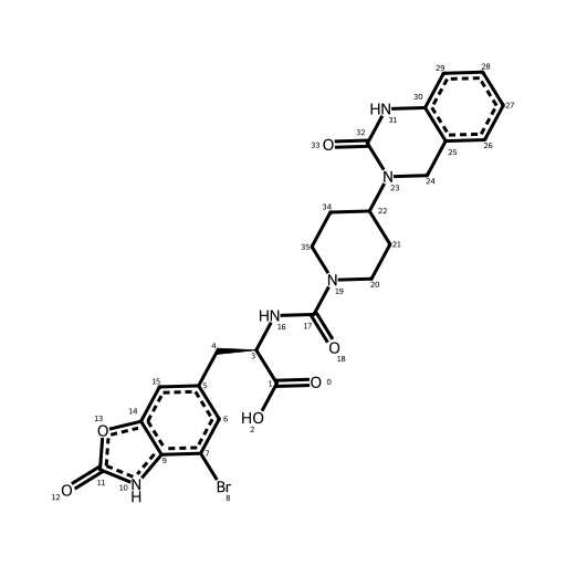 O=C(O)[C@@H](Cc1cc(Br)c2[nH]c(=O)oc2c1)NC(=O)N1CCC(N2Cc3ccccc3NC2=O)CC1